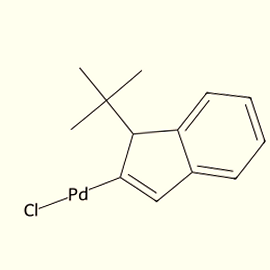 CC(C)(C)C1[C]([Pd][Cl])=Cc2ccccc21